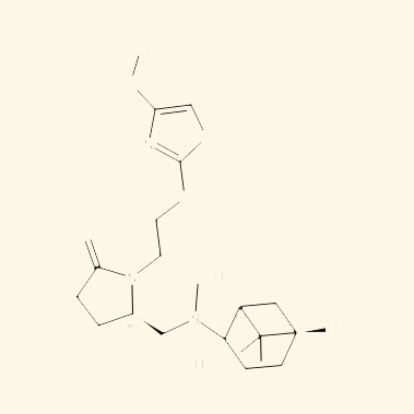 CN(C[C@H]1CCC(=O)N1CCSc1nc(OC(=O)O)cs1)[C@@H]1CC[C@H]2C[C@H]1C2(C)C